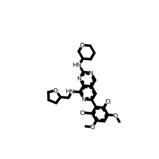 COc1cc(OC)c(Cl)c(-c2cc3cnc(NC4CCCOC4)nc3c(NCC3CCCO3)n2)c1Cl